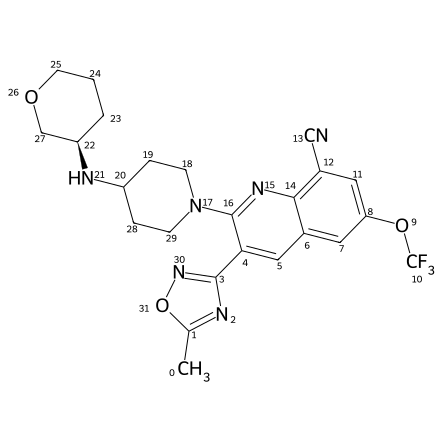 Cc1nc(-c2cc3cc(OC(F)(F)F)cc(C#N)c3nc2N2CCC(N[C@@H]3CCCOC3)CC2)no1